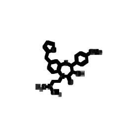 COc1ccc(C2Sc3cc(Cc4ccco4)ccc3N(CCN(C)C)C(=O)C2O)cc1